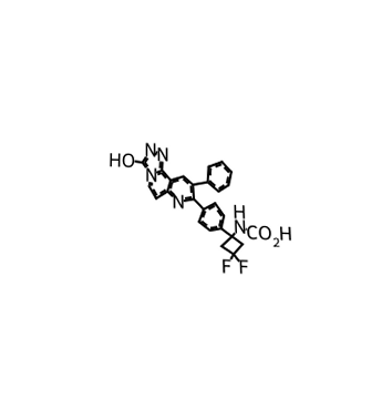 O=C(O)NC1(c2ccc(-c3nc4ccn5c(O)nnc5c4cc3-c3ccccc3)cc2)CC(F)(F)C1